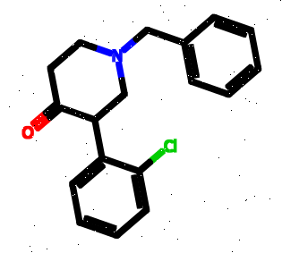 O=C1CCN(Cc2ccccc2)CC1c1ccccc1Cl